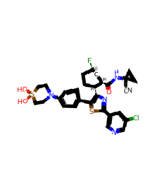 N#CC1(NC(=O)[C@@H]2C[C@@H](F)CC[C@H]2c2nc(-c3cncc(Cl)c3)sc2-c2ccc(N3CCS(O)(O)CC3)cc2)CC1